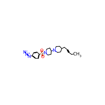 CCC#CCC1CCN(C2CCN(S(=O)(=O)c3ccc(N=[N+]=[N-])cc3)CC2)CC1